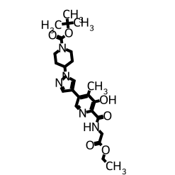 CCOC(=O)CNC(=O)c1ncc(-c2cnn(C3CCN(C(=O)OC(C)(C)C)CC3)c2)c(C)c1O